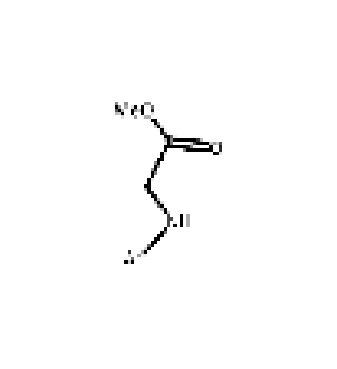 COC(=O)CNC(C)=O